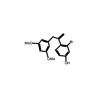 C=C(Cc1cc(OC)cc(OC)c1)c1ccc(O)cc1Br